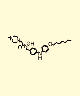 CCCCCCCOc1ccc(Nc2ccc(CN(O)C(=O)CN3CCN(C)CC3)cc2)cc1